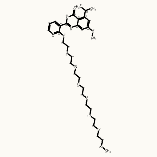 COCCOCCOCCOCCOCCOCCOCCOc1ncccc1-c1nc2cc(OC)cc(C(C)C)c2c(=O)o1